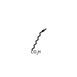 CC#CCCCCCCCCCC(=O)O